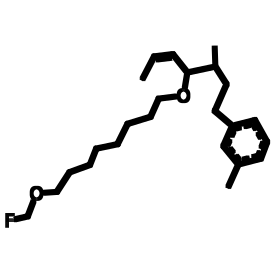 C/C=C\C(OCCCCCCCCOCF)C(C)CCc1cccc(C)c1